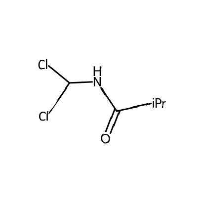 CC(C)C(=O)NC(Cl)Cl